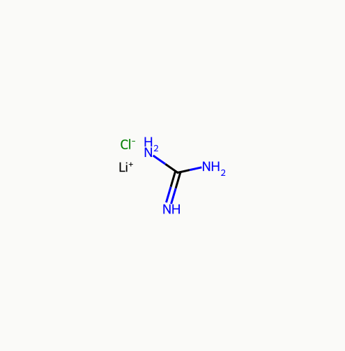 N=C(N)N.[Cl-].[Li+]